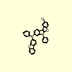 Clc1ccc2oc3c(c2c1)c1ccc(N(c2ccccc2)c2ccc4c(c2)oc2ccccc24)cc1n3-c1ccccc1